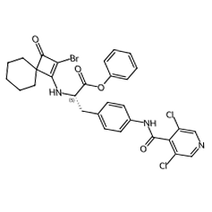 O=C(Nc1ccc(C[C@H](NC2=C(Br)C(=O)C23CCCCC3)C(=O)Oc2ccccc2)cc1)c1c(Cl)cncc1Cl